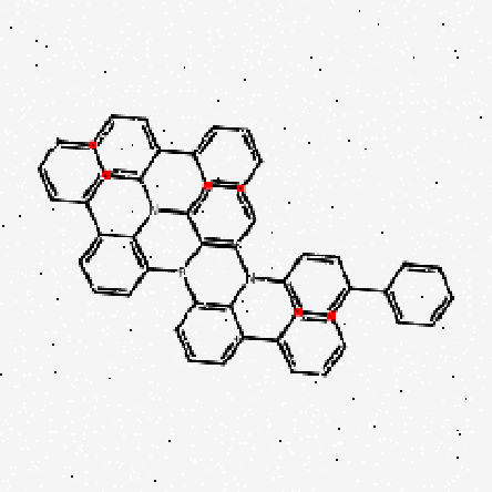 c1ccc(-c2ccc(N3c4cccc5c4B(c4cccc(-c6ccccc6)c43)c3cccc(-c4ccccc4)c3N5c3ccccc3-c3ccccc3)cc2)cc1